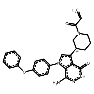 C=CC(=O)N1CCC[C@@H](c2cn(-c3ccc(Oc4ccccc4)cc3)c3c(N)n[nH]c(=O)c23)C1